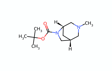 CN1C[C@H]2C[C@@H](C1)N(C(=O)OC(C)(C)C)C2